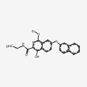 CCOc1nc(C(=O)NCC=O)c(O)c2ccc(Oc3ccc4ccccc4c3)cc12